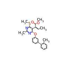 CC=C(C(=O)OC)c1c(Oc2cccc(-c3ccccc3C)c2)nc(C)nc1SC